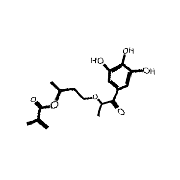 C=C(C)C(=O)OC(C)CCOC(C)C(=O)c1cc(O)c(O)c(O)c1